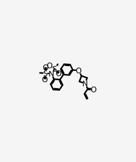 C=CC(=O)N1CC(Oc2cccc(-c3ccccc3N(S(C)(=O)=O)S(C)(=O)=O)c2)C1